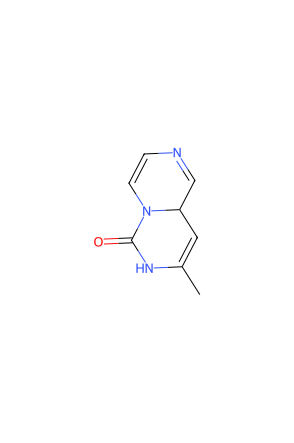 CC1=CC2C=NC=CN2C(=O)N1